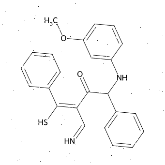 COc1cccc(NC(C(=O)/C(C=N)=C(/S)c2ccccc2)c2ccccc2)c1